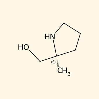 C[C@@]1(CO)CCCN1